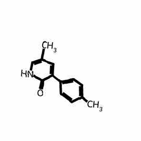 Cc1ccc(-c2cc(C)c[nH]c2=O)cc1